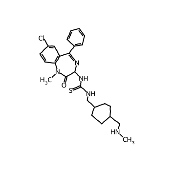 CNCC1CCC(CNC(=S)NC2N=C(c3ccccc3)c3cc(Cl)ccc3N(C)C2=O)CC1